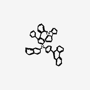 c1ccc(-c2cc(N(c3ccc(-c4cc5ccccc5c5ccccc45)cc3)c3ccc4ccccc4c3)ccc2-c2ccccc2-n2c3ccccc3c3ccccc32)cc1